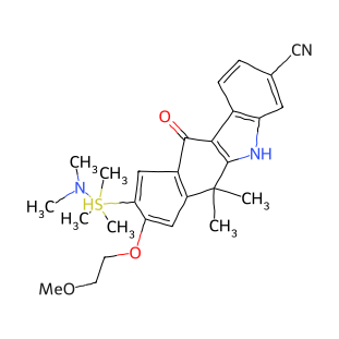 COCCOc1cc2c(cc1[SH](C)(C)(C)N(C)C)C(=O)c1c([nH]c3cc(C#N)ccc13)C2(C)C